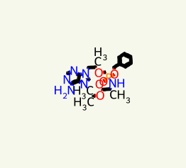 CC(C)OC(=O)[C@H](C)N[P@@](=O)(CO[C@H](C)Cn1cnc2c(N)ncnc21)OCc1ccccc1